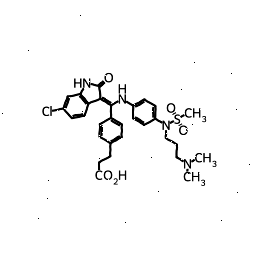 CN(C)CCCN(c1ccc(N/C(=C2\C(=O)Nc3cc(Cl)ccc32)c2ccc(CCC(=O)O)cc2)cc1)S(C)(=O)=O